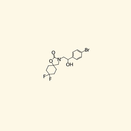 O=C1OC2(CCC(F)(F)CC2)CN1CC(O)c1ccc(Br)cc1